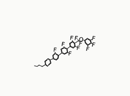 CCCCc1ccc(-c2ccc(-c3cc(F)c(-c4cc(F)c(C(F)(F)Oc5cc(F)c(F)c(F)c5)c(F)c4)c(F)c3)c(F)c2)cc1